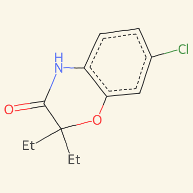 CCC1(CC)Oc2cc(Cl)ccc2NC1=O